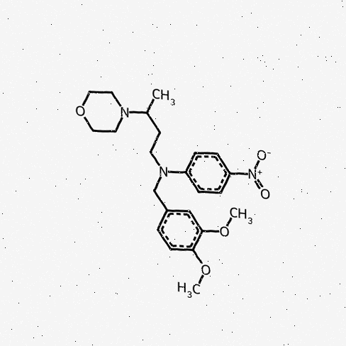 COc1ccc(CN(CCC(C)N2CCOCC2)c2ccc([N+](=O)[O-])cc2)cc1OC